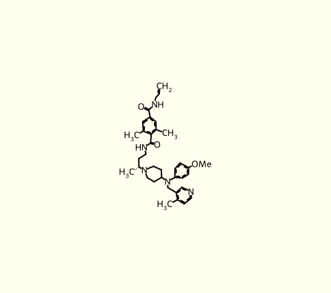 C=CCNC(=O)c1cc(C)c(C(=O)NCC[C@@H](C)N2CCC(N(Cc3cnccc3C)c3ccc(OC)cc3)CC2)c(C)c1